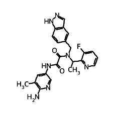 Cc1cc(NC(=O)C(=O)N(Cc2ccc3[nH]ncc3c2)C(C)c2ncccc2F)cnc1N